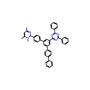 CC1=CC(C)=NC(c2ccc(-c3cc(-c4ccc(-c5ccccc5)cc4)cc(-c4nc(-c5ccccc5)nc(-c5ccccc5)n4)c3)cc2)N1C